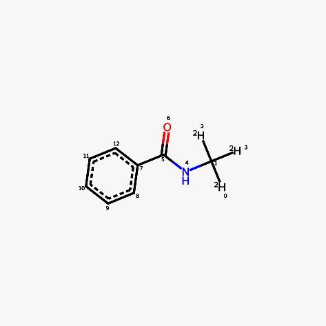 [2H]C([2H])([2H])NC(=O)c1ccccc1